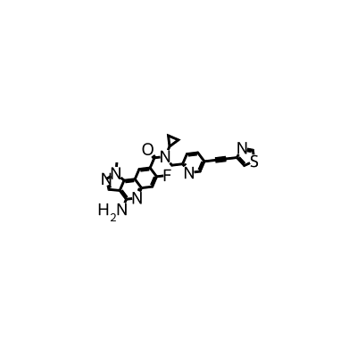 Cn1ncc2c(N)nc3cc(F)c(C(=O)N(Cc4ccc(C#Cc5cscn5)cn4)C4CC4)cc3c21